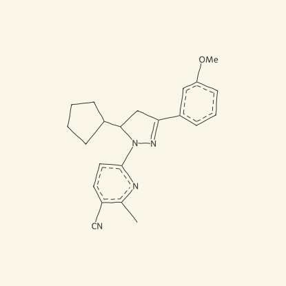 COc1cccc(C2=NN(c3ccc(C#N)c(C)n3)C(C3CCCC3)C2)c1